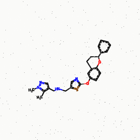 Cc1c(CNCc2cnc(Oc3ccc4c(c3)CCC(c3ccccc3)O4)s2)cnn1C